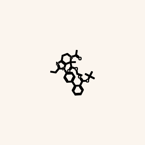 CCOC(=O)C1(C)c2c(nc(CC)n2-c2ccc(-c3ccccc3C(=O)OC(C)(C)C)cc2)CCN1C(C)=O